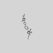 CCCCOc1ccc([C@H]2CC[C@H](C3CC=C(c4ccc(OCC)cc4F)CC3)CC2)c(F)c1F